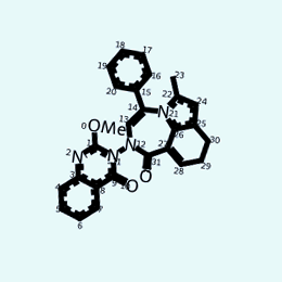 COc1nc2ccccc2c(=O)n1N1C=C(c2ccccc2)n2c(C)cc3c2C(=CCC3)C1=O